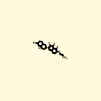 C=CCOc1ccc2cc([C@@H]3CC[C@@H]4CC(CC)CCC4C3)c(F)c(F)c2c1F